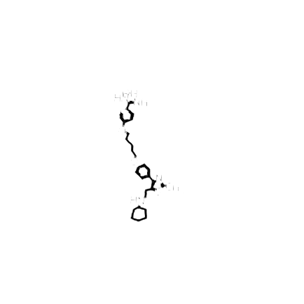 Cc1nc(-c2ccc(OCCCCCOc3ccc(C(=N)NO)cc3)cc2)c(CCNC2CCCCC2)s1